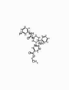 CCOC(=O)c1cnc(NC2(c3ccccc3)CCN(C(=O)Nc3cccc(F)c3)CC2)nc1